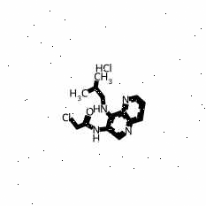 CC(C)CNc1c(NC(=O)CCl)cnc2cccnc12.Cl